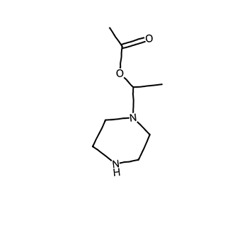 CC(=O)OC(C)N1CCNCC1